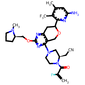 C=C(F)C(=O)N1CCN(c2nc(OC[C@H]3CCCN3C)nc3c2COC(c2nc(N)cc(C)c2C(F)(F)F)C3)C[C@H]1CC#N